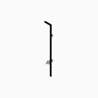 CCCCCCCC/C=C\CCCCCCCCCCCC(=O)CCCCCCCCCCCCCCCCCCCCCCCCCCCCCC(=O)NCC(O)CCCCCCCCCCCCCCCC